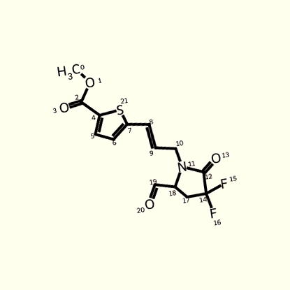 COC(=O)c1ccc(C=CCN2C(=O)C(F)(F)CC2C=O)s1